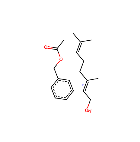 CC(=O)OCc1ccccc1.CC(C)=CCC/C(C)=C/CO